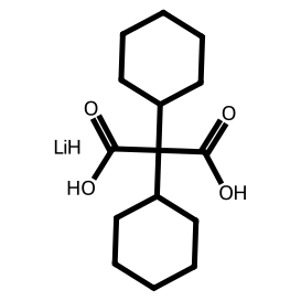 O=C(O)C(C(=O)O)(C1CCCCC1)C1CCCCC1.[LiH]